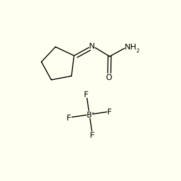 F[B-](F)(F)F.NC(=O)N=C1CCCC1